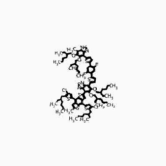 CCCCC(CC)COc1c(OCC(CC)CCCC)c(-c2ccc(-c3cc(F)c(-c4ccc(-c5c(OCC(CC)CCCC)c(OCC(CC)CCCC)c(-c6cc7c(-c8cc(Cl)c(CC(CC)CCCC)s8)c8sc(C)cc8c(-c8cc(Cl)c(CC(CC)CCCC)s8)c7s6)c6nsnc56)s4)cc3F)s2)c2nsnc2c1C